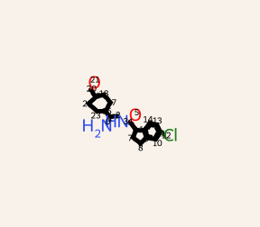 NC(CNC(=O)C1CCc2cc(Cl)ccc21)C1CCC(C=O)CC1